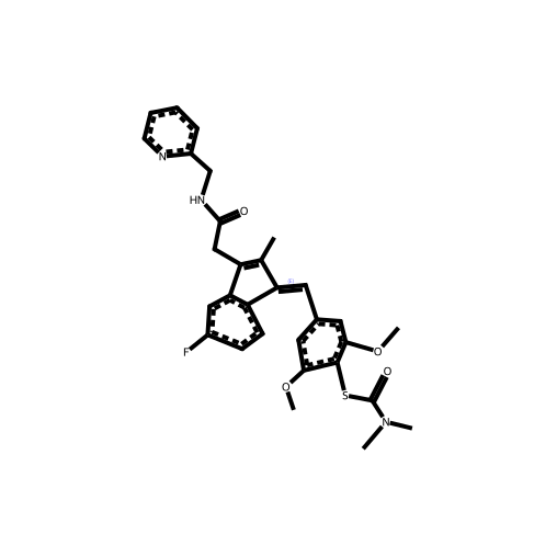 COc1cc(/C=C2/C(C)=C(CC(=O)NCc3ccccn3)c3cc(F)ccc32)cc(OC)c1SC(=O)N(C)C